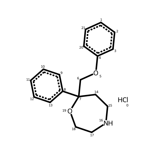 Cl.c1ccc(OCC2(c3ccccc3)CCNCCO2)cc1